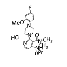 CCCNc1ccnc(N2CCN(c3ccc(F)cc3OC)CC2)c1C(=O)N(C)C.Cl